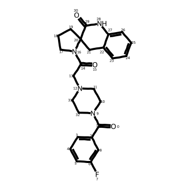 O=C(c1cccc(F)c1)N1CCN(CC(=O)N2CCCC23Cc2ccccc2NC3=O)CC1